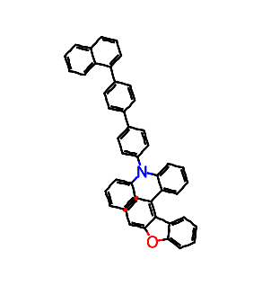 c1ccc(N(c2ccc(-c3ccc(-c4cccc5ccccc45)cc3)cc2)c2ccccc2-c2cccc3oc4ccccc4c23)cc1